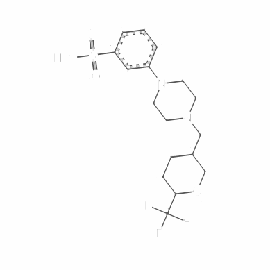 CS(=O)(=O)c1cccc(N2CCN(CC3CCC(C(F)(F)F)OC3)CC2)c1